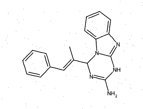 C/C(=C\c1ccccc1)C1N=C(N)Nc2nc3ccccc3n21